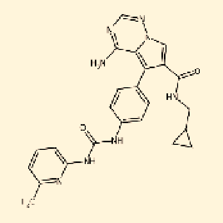 Nc1ncnn2cc(C(=O)NCC3CC3)c(-c3ccc(NC(=O)Nc4cccc(C(F)(F)F)n4)cc3)c12